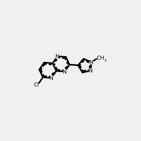 Cn1cc(-c2cnc3ccc(Cl)nc3n2)cn1